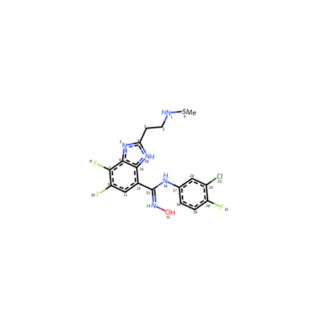 CSNCCc1nc2c(F)c(F)cc(/C(=N/O)Nc3ccc(F)c(Cl)c3)c2[nH]1